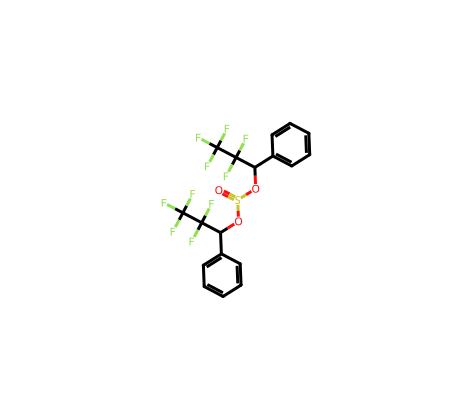 O=S(OC(c1ccccc1)C(F)(F)C(F)(F)F)OC(c1ccccc1)C(F)(F)C(F)(F)F